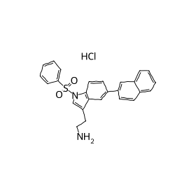 Cl.NCCc1cn(S(=O)(=O)c2ccccc2)c2ccc(-c3ccc4ccccc4c3)cc12